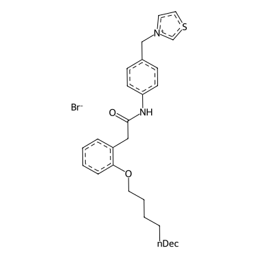 CCCCCCCCCCCCCCOc1ccccc1CC(=O)Nc1ccc(C[n+]2ccsc2)cc1.[Br-]